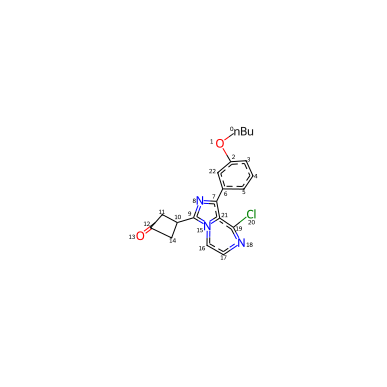 CCCCOc1cccc(-c2nc(C3CC(=O)C3)n3ccnc(Cl)c23)c1